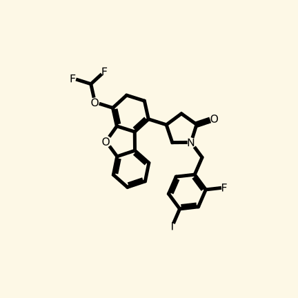 O=C1CC(C2=c3c(oc4ccccc34)=C(OC(F)F)CC2)CN1Cc1ccc(I)cc1F